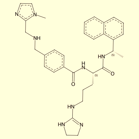 C[C@H](NC(=O)[C@H](CCCNC1=NCCN1)NC(=O)c1ccc(CNCc2nccn2C)cc1)c1cccc2ccccc12